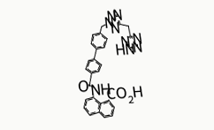 O=C(Nc1cccc2cccc(C(=O)O)c12)c1ccc(-c2ccc(Cn3nnc(Cc4nn[nH]n4)n3)cc2)cc1